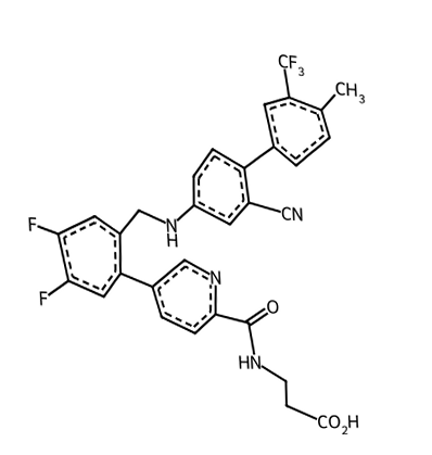 Cc1ccc(-c2ccc(NCc3cc(F)c(F)cc3-c3ccc(C(=O)NCCC(=O)O)nc3)cc2C#N)cc1C(F)(F)F